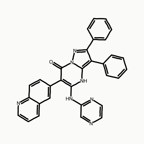 O=c1c(-c2ccc3ncccc3c2)c(Nc2cnccn2)[nH]c2c(-c3ccccc3)c(-c3ccccc3)nn12